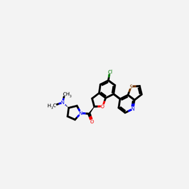 CN(C)[C@H]1CCN(C(=O)[C@H]2Cc3cc(Cl)cc(-c4ccnc5ccsc45)c3O2)C1